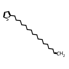 C=CCCCCCCCCCCCCCCCc1cccs1